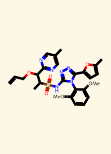 C=CCOC(c1ncc(C)cn1)C(C)S(=O)(=O)Nc1nnc(-c2ccc(C)o2)n1-c1c(OC)cccc1OC